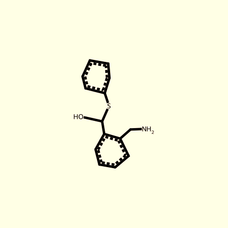 NCc1ccccc1C(O)Sc1ccccc1